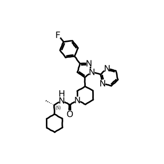 C[C@H](NC(=O)N1CCCC(c2cc(-c3ccc(F)cc3)nn2-c2ncccn2)C1)C1CCCCC1